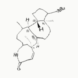 CCCCC1CC[C@H]2[C@@H]3C(C)CC4NC(=O)C=C[C@]4(C)[C@@H]3CC[C@]12C